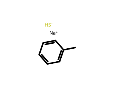 Cc1ccccc1.[Na+].[SH-]